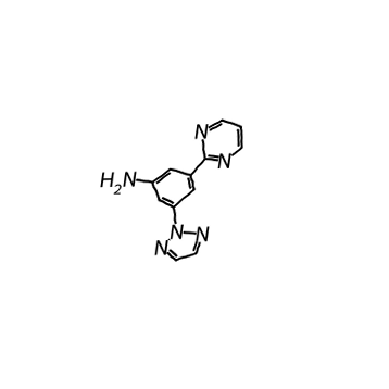 Nc1cc(-c2ncccn2)cc(-n2nccn2)c1